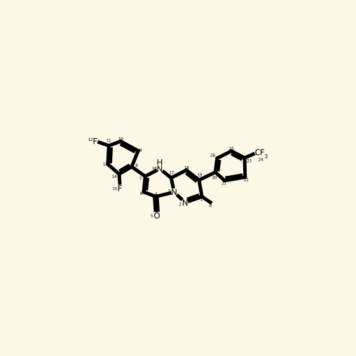 CC1=NN2C(=O)C=C(c3ccc(F)cc3F)NC2C=C1c1ccc(C(F)(F)F)cc1